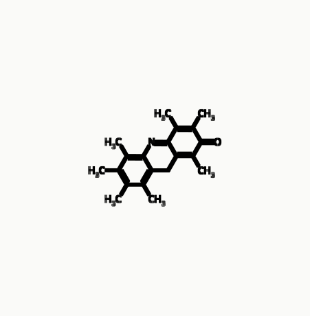 CC1=C(C)C2=Nc3c(C)c(C)c(C)c(C)c3CC2=C(C)C1=O